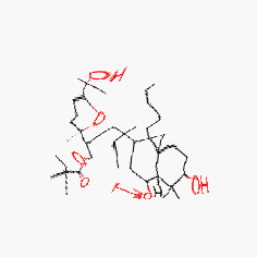 CCCCC12CC13CCC(O)C(C)(C)[C@@H]3[C@@H](O)CC2C(C)(CC)CC(COC(=O)C(C)(C)C)[C@@]1(C)CCC(C(C)(C)O)O1